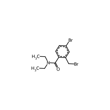 CCN(CC)C(=O)c1ccc(Br)cc1CBr